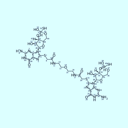 Nc1nc2c(nc(SCC(=O)NCCOCCNC(=O)CSc3nc4c(=O)[nH]c(N)nc4n3[C@@H]3OC4CO[PH](O)(S)O[C@H]4[C@@H]3O)n2[C@@H]2OC3CO[PH](O)(S)O[C@H]3[C@@H]2O)c(=O)[nH]1